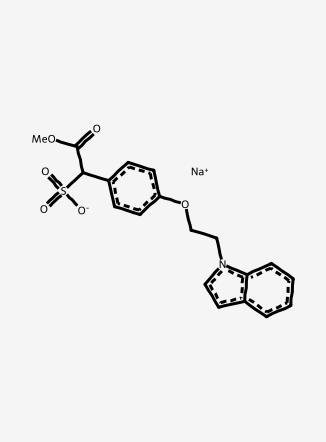 COC(=O)C(c1ccc(OCCn2ccc3ccccc32)cc1)S(=O)(=O)[O-].[Na+]